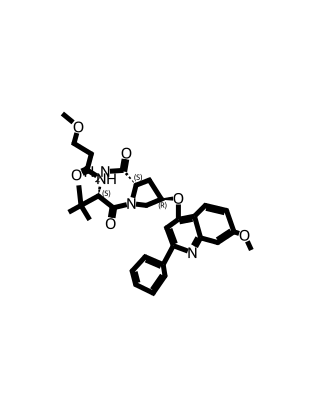 COCCC(=O)N[C@H](C(=O)N1C[C@H](Oc2cc(-c3ccccc3)nc3cc(OC)ccc23)C[C@H]1C(N)=O)C(C)(C)C